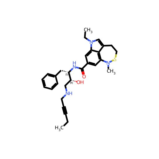 CCC#CCNC[C@@H](O)[C@H](Cc1ccccc1)NC(=O)c1cc2c3c(cn(CC)c3c1)CCSN2C